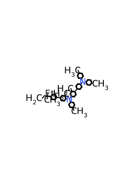 C=CCC(C)(CC)c1ccc(-c2ccc(N(c3ccc(C)cc3)c3ccc(-c4ccc(N(c5ccc(C)cc5)c5ccc(C)cc5)cc4)c(C)c3C)cc2)cc1